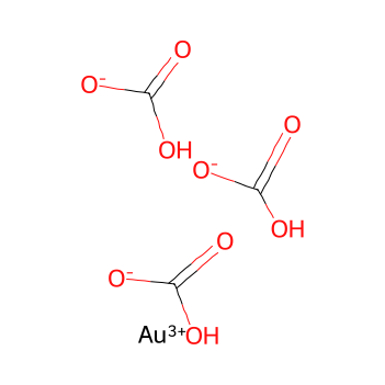 O=C([O-])O.O=C([O-])O.O=C([O-])O.[Au+3]